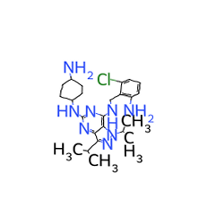 CC(C)c1nn(C(C)C)c2c(NCc3c(N)cccc3Cl)nc(NC3CCC(N)CC3)nc12